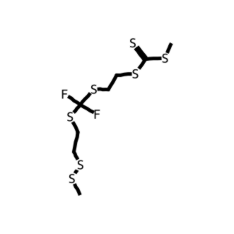 CSSCCSC(F)(F)SCCSC(=S)SC